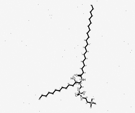 CCCCCCCCCCCCCCCCCCCCC(=O)N[C@@H](COP(=O)([O-])OCC[N+](C)(C)C)[C@H](O)CCCCCCCCCCC